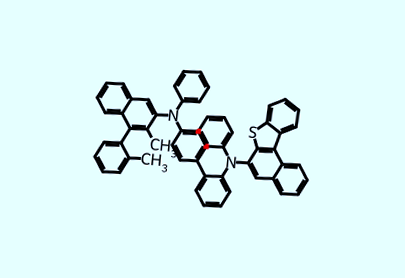 Cc1ccccc1-c1c(C)c(N(c2ccccc2)c2ccc(-c3ccccc3N(c3ccccc3)c3cc4ccccc4c4c3sc3ccccc34)cc2)cc2ccccc12